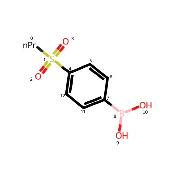 CCCS(=O)(=O)c1ccc(B(O)O)cc1